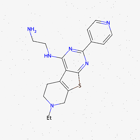 CCN1CCc2c(sc3nc(-c4ccncc4)nc(NCCN)c23)C1